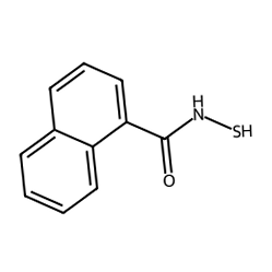 O=C(NS)c1cccc2ccccc12